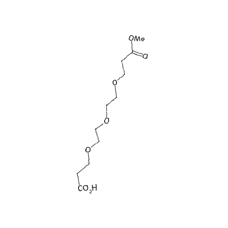 COC(=O)CCOCCOCCOCCC(=O)O